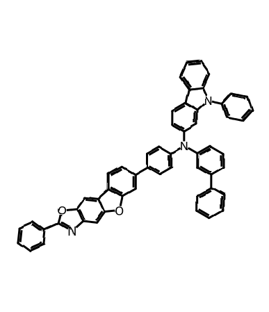 c1ccc(-c2cccc(N(c3ccc(-c4ccc5c(c4)oc4cc6nc(-c7ccccc7)oc6cc45)cc3)c3ccc4c5ccccc5n(-c5ccccc5)c4c3)c2)cc1